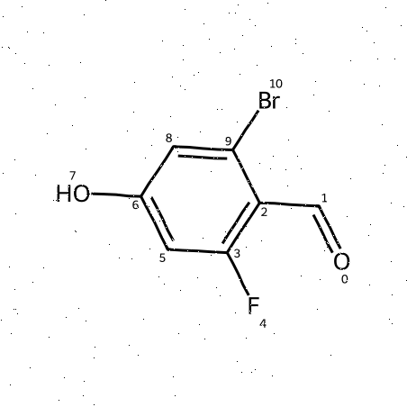 O=Cc1c(F)cc(O)cc1Br